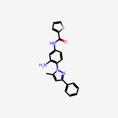 Cc1cc(-c2ccccc2)nn1-c1ccc(NC(=O)c2cccs2)cc1N